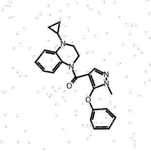 Cn1ncc(C(=O)N2CCN(C3CC3)c3ccccc32)c1Oc1ccccc1